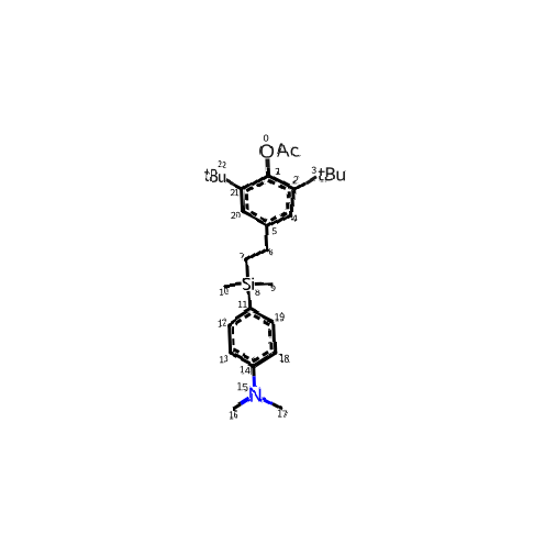 CC(=O)Oc1c(C(C)(C)C)cc(CC[Si](C)(C)c2ccc(N(C)C)cc2)cc1C(C)(C)C